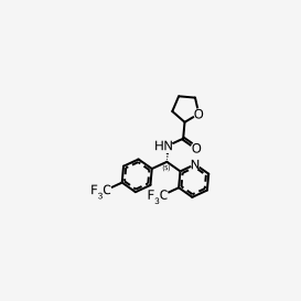 O=C(N[C@@H](c1ccc(C(F)(F)F)cc1)c1ncccc1C(F)(F)F)C1CCCO1